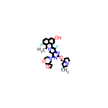 CCc1c(F)ccc2cc(O)cc(-c3ncc4c(N5CCOCC6(CCO6)C5)nc(OC[C@@]56CCCN5C[C@H](C)C6)nc4c3F)c12